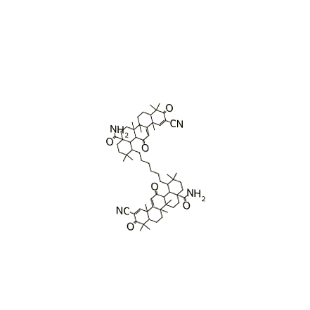 CC1(C)CCC2(C(N)=O)CCC3(C)C(C(=O)C=C4C5(C)C=C(C#N)C(=O)C(C)(C)C5CCC43C)C2C1CCCCCCC1C2C3C(=O)C=C4C5(C)C=C(C#N)C(=O)C(C)(C)C5CCC4(C)C3(C)CCC2(C(N)=O)CCC1(C)C